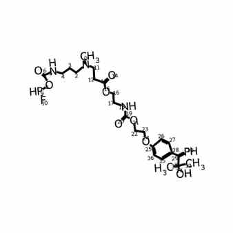 CN(CCCNC(=O)OPF)CCC(=O)OCCNC(=O)OCCOc1ccc(C(=P)C(C)(C)O)cc1